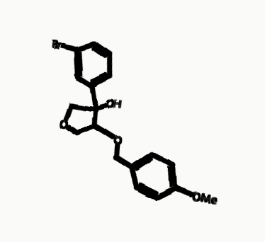 COc1ccc(COC2COCC2(O)c2cccc(Br)c2)cc1